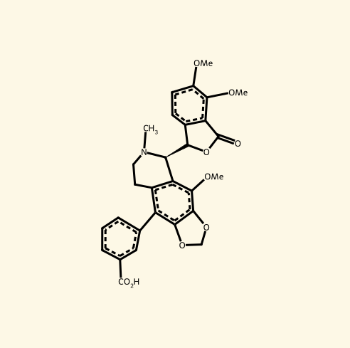 COc1ccc2c(c1OC)C(=O)OC2[C@H]1c2c(c(-c3cccc(C(=O)O)c3)c3c(c2OC)OCO3)CCN1C